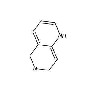 C1=CNC2=CC[N]CC2=C1